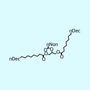 CCCCCCCCCCCCCCCCCC(=O)OCC(COC(=O)CCCCCCCCCCCCCCCCC)OC(=O)CCCCCCCCC